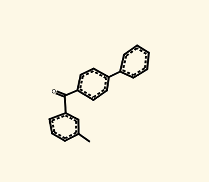 Cc1cccc(C(=O)c2ccc(-c3ccccc3)cc2)c1